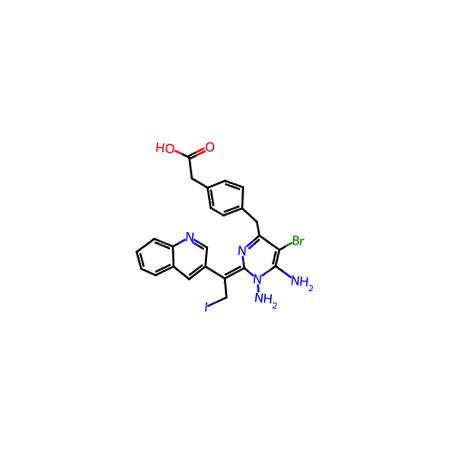 NC1=C(Br)C(Cc2ccc(CC(=O)O)cc2)=N/C(=C(/CI)c2cnc3ccccc3c2)N1N